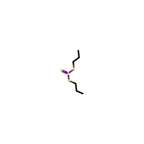 CCCS[P](=S)SCCC